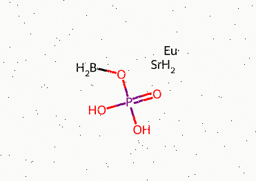 BOP(=O)(O)O.[Eu].[SrH2]